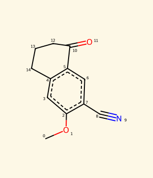 COc1cc2c(cc1C#N)C(=O)CCC2